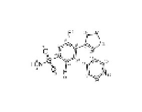 NS(=O)(=O)c1cc(F)c(C2=C(c3cccnc3)CCC2)cc1F